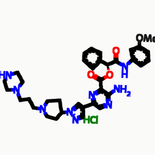 COc1cccc(NC(=O)[C@H](OC(=O)c2nc(-c3cnn(C4CCN(CCCN5CCNCC5)CC4)c3)cnc2N)c2ccccc2)c1.Cl